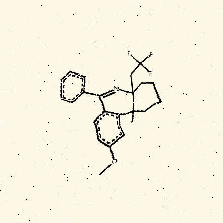 COc1ccc2c(c1)C1(C)CCCCC1(CC(F)(F)F)N=C2c1ccccc1